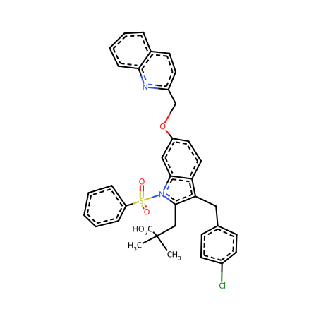 CC(C)(Cc1c(Cc2ccc(Cl)cc2)c2ccc(OCc3ccc4ccccc4n3)cc2n1S(=O)(=O)c1ccccc1)C(=O)O